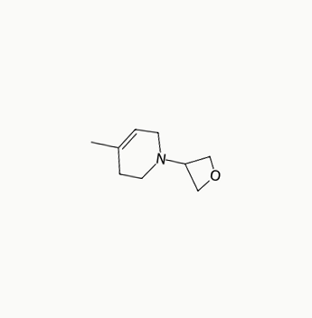 CC1=CCN(C2COC2)CC1